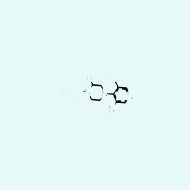 CC(C)(C)C1CN(c2c(N)cncc2Cl)CCN1C(=O)O